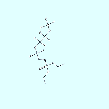 CCOP(=O)(OCC)OCC(F)(F)OC(F)(F)C(F)(F)OC(F)(F)F